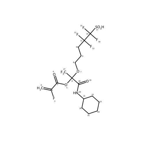 C=C(F)C(=O)OC(OCCCC(F)(F)C(F)(F)S(=O)(=O)O)(C(=O)NC1CCCCC1)C(F)(F)F